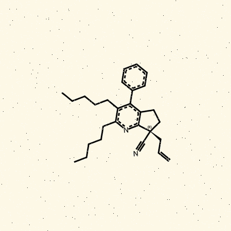 C=CC[C@]1(C#N)CCc2c1nc(CCCCC)c(CCCCC)c2-c1ccccc1